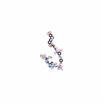 CCS(=O)(=O)N1CC(CC#N)(n2cc(-c3ncnc4c3ccn4C(=O)N(C)CCN(C)C(=O)OCc3ccc(/N=N/c4ccc(O)c(C(=O)NCCCCC(=O)Oc5c(OC)ccc6cc7[n+](cc56)CCc5cc6c(cc5-7)OCO6)c4)cc3)cn2)C1